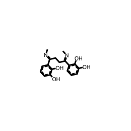 C/N=C(\CC/C(=N\C)c1cccc(O)c1O)c1cccc(O)c1O